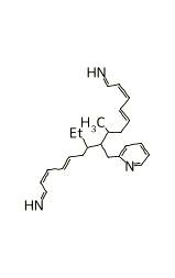 CCC(C/C=C/C=C\C=N)C(Cc1ccccn1)C(C)C/C=C/C=C\C=N